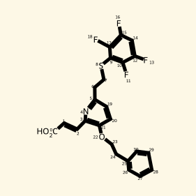 O=C(O)C=Cc1nc(CCSc2c(F)c(F)cc(F)c2F)ccc1OCCc1ccccc1